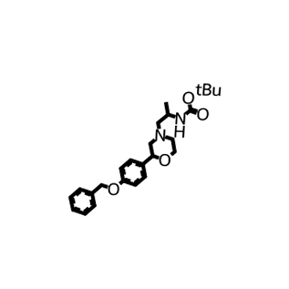 CC(CN1CCOC(c2ccc(OCc3ccccc3)cc2)C1)NC(=O)OC(C)(C)C